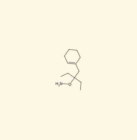 CCC(CC)(CC1=CCCCC1)O[SiH3]